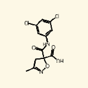 CC1=NOC(C(=O)O)(C(=O)Nc2cc(Cl)cc(Cl)c2)C1